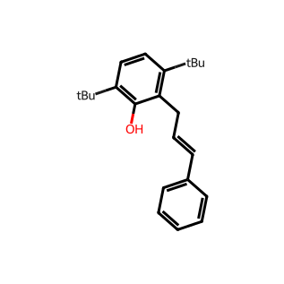 CC(C)(C)c1ccc(C(C)(C)C)c(C/C=C/c2ccccc2)c1O